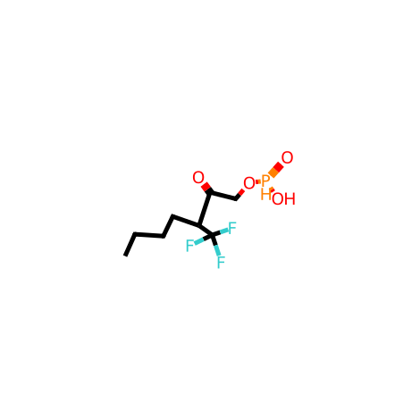 CCCCC(C(=O)CO[PH](=O)O)C(F)(F)F